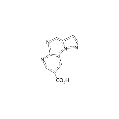 O=C(O)c1cnc2ncc3ccnn3c2c1